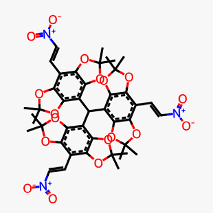 CC1(C)Oc2c(C=C[N+](=O)[O-])c3c(c(C(c4c5c(c(C=C[N+](=O)[O-])c6c4OC(C)(C)O6)OC(C)(C)O5)c4c5c(c(C=C[N+](=O)[O-])c6c4OC(C)(C)O6)OC(C)(C)O5)c2O1)OC(C)(C)O3